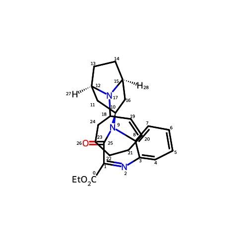 CCOC(=O)c1nc2ccccc2n([C@H]2C[C@H]3CC[C@@H](C2)N3C2C=CCCCC2)c1=O